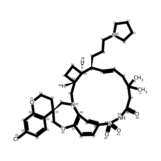 CC1(C)C/C=C/[C@H](CCCN2CCCC2)[C@@H]2CC[C@H]2CN2C[C@@]3(CCOc4cc(Cl)ccc43)COc3ccc(cc32)S(=O)(=O)NC(=O)C1